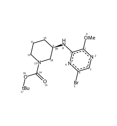 COc1ncc(Br)nc1N[C@@H]1CCCN(C(=O)OC(C)(C)C)C1